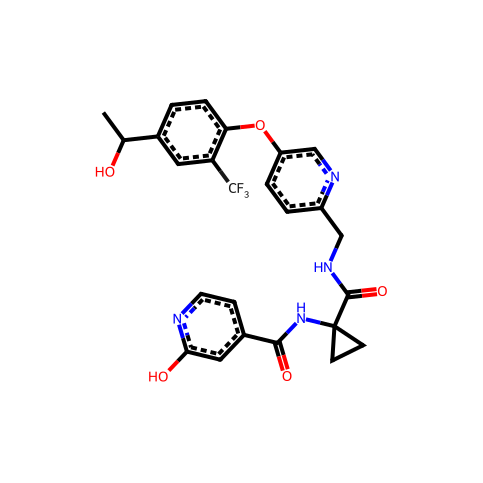 CC(O)c1ccc(Oc2ccc(CNC(=O)C3(NC(=O)c4ccnc(O)c4)CC3)nc2)c(C(F)(F)F)c1